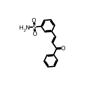 NS(=O)(=O)c1cccc(C=CC(=O)c2ccccc2)c1